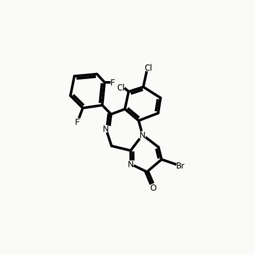 O=c1nc2n(cc1Br)-c1ccc(Cl)c(Cl)c1C(c1c(F)cccc1F)=NC2